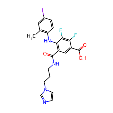 Cc1cc(I)ccc1Nc1c(C(=O)NCCCn2ccnc2)cc(C(=O)O)c(F)c1F